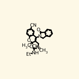 CCNC(=O)N(C)CC1=C(N2Cc3ccccc3C2=O)c2cc(C#N)ccc2OC1(C)C